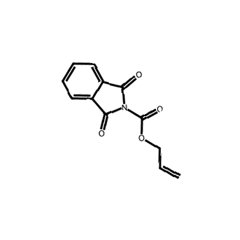 C=CCOC(=O)N1C(=O)c2ccccc2C1=O